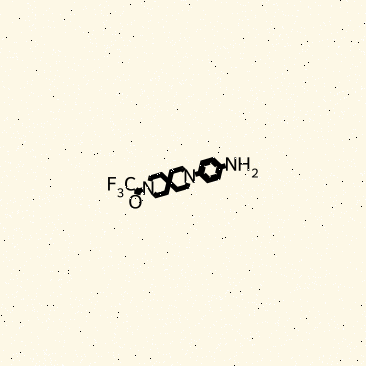 Nc1ccc(N2CCC3(CCN(C(=O)C(F)(F)F)CC3)CC2)cc1